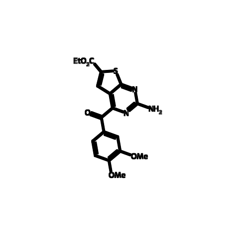 CCOC(=O)c1cc2c(C(=O)c3ccc(OC)c(OC)c3)nc(N)nc2s1